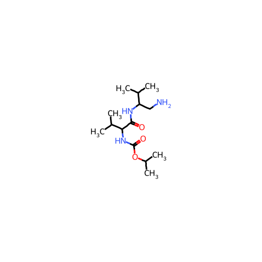 CC(C)OC(=O)NC(C(=O)NC(CN)C(C)C)C(C)C